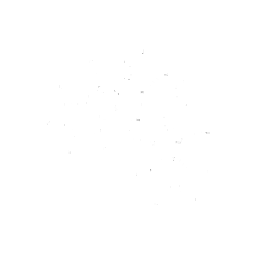 Cc1c(C)c(C)c2c(c1C)C(=O)C(=C1C=Cc3cccc(N4C(=O)c5c(C)c(C)c(C)c(C)c5C4=O)c3C1C)C2=O